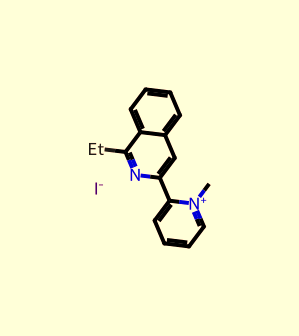 CCc1nc(-c2cccc[n+]2C)cc2ccccc12.[I-]